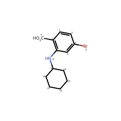 O=C(O)c1ccc(Br)cc1NC1CCCCC1